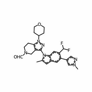 Cc1cc2cc(-c3cnn(C)c3)c(C(F)F)cc2n1-c1nn(C2CCOCC2)c2c1CN(C=O)CC2